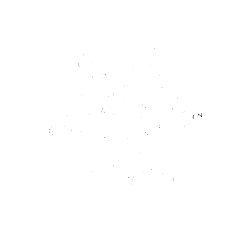 N#Cc1ccc2c(c1)c1cc(C#N)ccc1n2-c1c(-c2ccncc2)c(-n2c3ccc(C#N)cc3c3cc(C#N)ccc32)c(-n2c3ccc(C#N)cc3c3cc(C#N)ccc32)c(-c2cccc(-c3ccccc3)n2)c1-n1c2ccc(C#N)cc2c2cc(C#N)ccc21